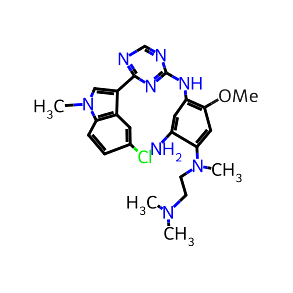 COc1cc(N(C)CCN(C)C)c(N)cc1Nc1ncnc(-c2cn(C)c3ccc(Cl)cc23)n1